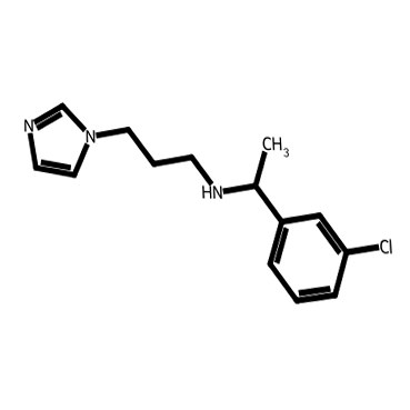 CC(NCCCn1ccnc1)c1cccc(Cl)c1